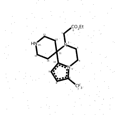 CCOC(=O)CN1CCn2c(C(F)(F)F)ccc2C12CCNCC2